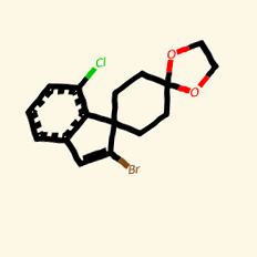 Clc1cccc2c1C1(CCC3(CC1)OCCO3)C(Br)=C2